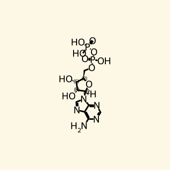 [2H][C@@]1(n2cnc3c(N)ncnc32)O[C@H](COP(=O)(O)OP(=O)(O)O)[C@@H](O)[C@H]1O